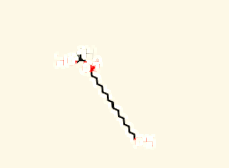 CC(CO)COC(=O)CCCCCCC/C=C/CCCCCCCCO